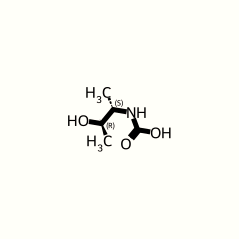 C[C@H](NC(=O)O)[C@@H](C)O